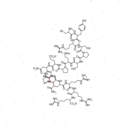 CSCCC(NC(=O)C(CO)NC(=O)C1CCCN1C(=O)C(CO)NC(=O)C(CCCNC(=N)N)NC(=O)C(Cc1ccc(O)cc1)NC(=O)C(N)CC(C)C)C(=O)N1CCCC1C(=O)NC(CCC(=O)O)C(=O)NC(CC(N)=O)C(=O)NC(CC(C)C)C(=O)NC(CC(N)=O)C(=O)NC(CCCNC(=N)N)C(=O)NC(CCCNC(=N)N)C(=O)NC(CCCNC(=N)N)C(=O)NC(CCCNC(=N)N)C(=O)O